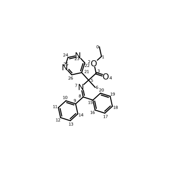 CCOC(=O)C(C)(N=C(c1ccccc1)c1ccccc1)c1cncnc1